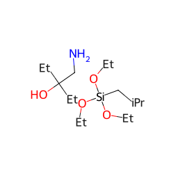 CCC(O)(CC)CN.CCO[Si](CC(C)C)(OCC)OCC